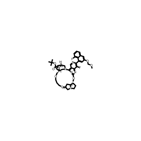 COCOc1cc(-c2ncc3c4nc(nc3c2F)OC[C@]23CCCN2C[C@@H](C3)OCCCOC[C@]23CC[C@H](CN4C2)N3C(=O)OC(C)(C)C)c2c(F)cccc2c1